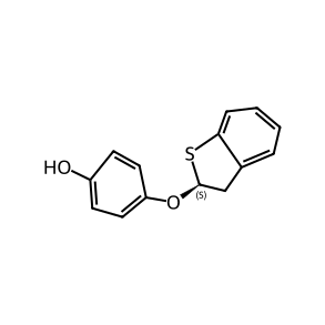 Oc1ccc(O[C@@H]2Cc3ccccc3S2)cc1